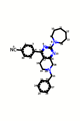 N#Cc1ccc(-c2nc(N3CCCCCC3)nc3c2CCN(Cc2ccccc2)C3)cc1